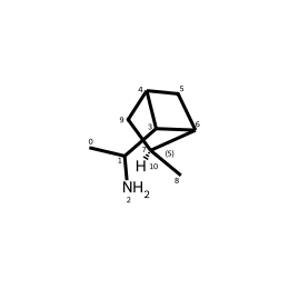 CC(N)C1C2CC1[C@@H](C)C2